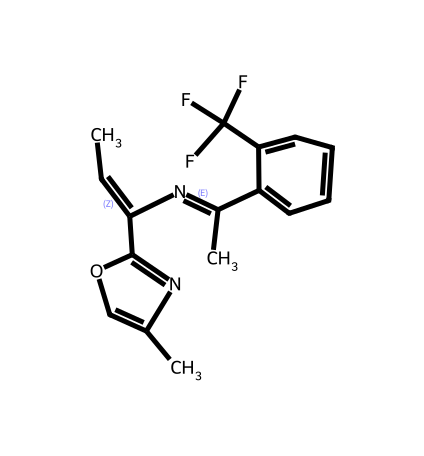 C/C=C(\N=C(/C)c1ccccc1C(F)(F)F)c1nc(C)co1